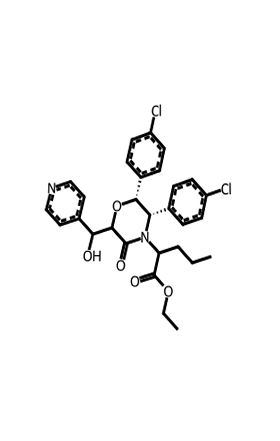 CCCC(C(=O)OCC)N1C(=O)C(C(O)c2ccncc2)O[C@H](c2ccc(Cl)cc2)[C@@H]1c1ccc(Cl)cc1